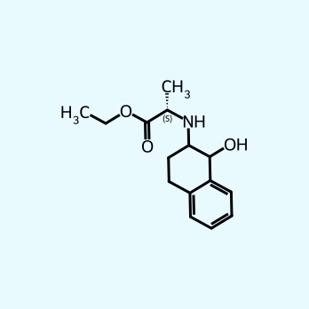 CCOC(=O)[C@H](C)NC1CCc2ccccc2C1O